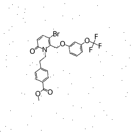 COC(=O)c1ccc(CCn2c(COc3cccc(OC(F)(F)F)c3)c(Br)ccc2=O)cc1